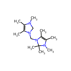 CC1=C(C)N(CN2C(C)=C(C)N(C)C2(C)C)CN1C